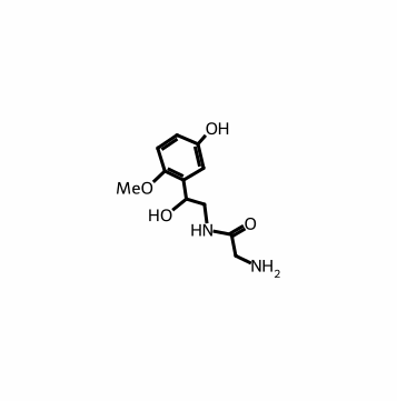 COc1ccc(O)cc1C(O)CNC(=O)CN